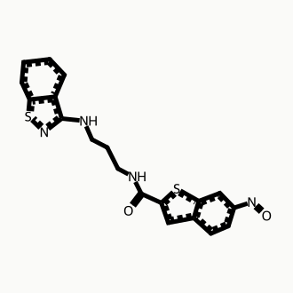 O=Nc1ccc2cc(C(=O)NCCCNc3nsc4ccccc34)sc2c1